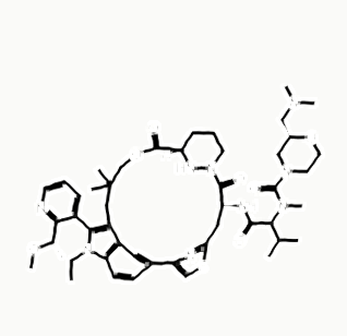 CCn1c(-c2cccnc2[C@H](C)OC)c2c3cc(ccc31)-c1csc(n1)C[C@H](NC(=O)C(C(C)C)N(C)C(=O)N1CCO[C@H](CN(C)C)C1)C(=O)N1CCC[C@H](N1)C(=O)OCC(C)(C)C2